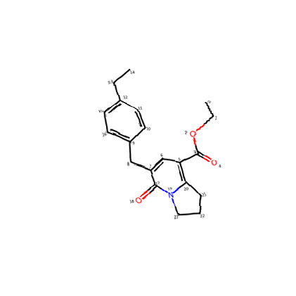 CCOC(=O)c1cc(Cc2ccc(CC)cc2)c(=O)n2c1CCC2